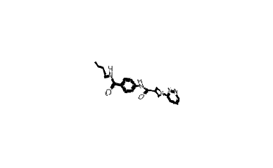 CCCCNC(=O)c1ccc(NC(=O)C2CN(c3cccnn3)C2)cc1